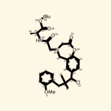 COc1ccccc1CC(C)(C)C(Cl)c1ccc2c(c1)CN(CC(=O)N[C@@H](C)C(=O)OC(C)(C)C)CC(=O)O2